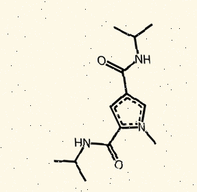 CC(C)NC(=O)c1cc(C(=O)NC(C)C)n(C)c1